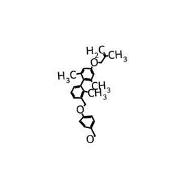 C=C(C)COc1cc(C)c(-c2cccc(COc3ccc(C=O)cc3)c2C)c(C)c1